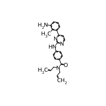 C=CCN(CC=C)C(=O)c1ccc(Nc2nccc(-c3cccc(N)c3C)n2)cc1